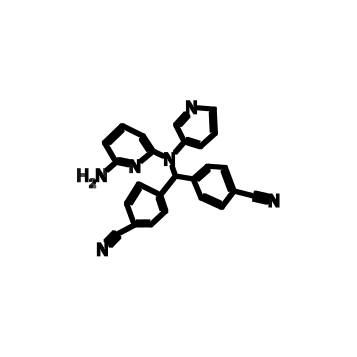 N#Cc1ccc(C(c2ccc(C#N)cc2)N(c2cccnc2)c2cccc(N)n2)cc1